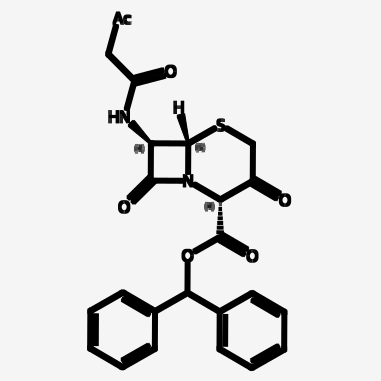 CC(=O)CC(=O)N[C@@H]1C(=O)N2[C@@H](C(=O)OC(c3ccccc3)c3ccccc3)C(=O)CS[C@@H]12